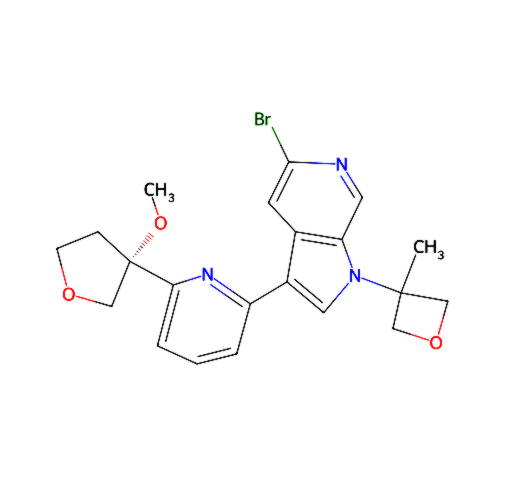 CO[C@@]1(c2cccc(-c3cn(C4(C)COC4)c4cnc(Br)cc34)n2)CCOC1